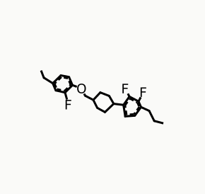 CCCc1ccc(C2CCC(COc3ccc(CC)cc3F)CC2)c(F)c1F